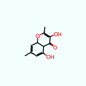 CC1=CC2OC(C)=C(O)C(=O)C2C(O)=C1